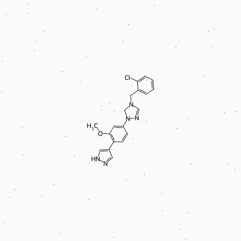 COc1cc(N2CN(Cc3ccccc3Cl)C=N2)ccc1-c1cn[nH]c1